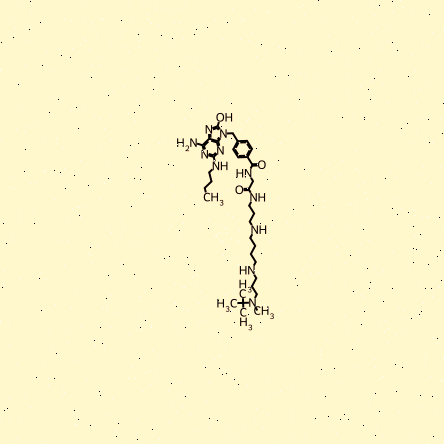 CCCCNc1nc(N)c2nc(O)n(Cc3ccc(C(=O)NCC(=O)NCCCNCCCCNCCCN(C)C(C)(C)C)cc3)c2n1